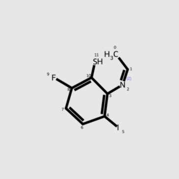 C/C=N\c1c(I)ccc(F)c1S